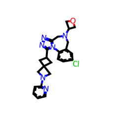 Clc1ccc2c(c1)CN(C1COC1)Cc1nnc(C3CC4(C3)CN(c3ccccn3)C4)n1-2